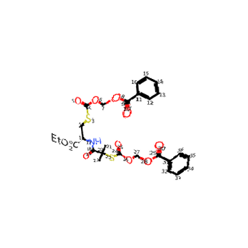 CCOC(=O)[C@H](CSC(=O)OCOC(=O)c1ccccc1)NC(=O)C(C)(C)SC(=O)OCOC(=O)c1ccccc1